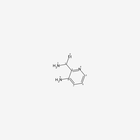 CCC(N)c1ncccc1N